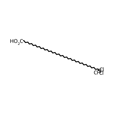 O=C(O)CCCCCCCCCCCCCCCCCCCCCCCCCCCCCCCCCCCCCCC[Si](Cl)(Cl)Cl